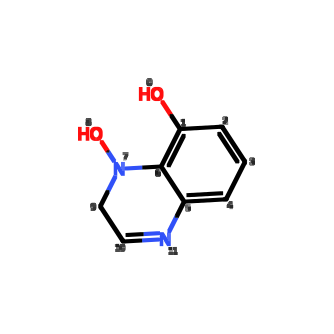 Oc1cccc2c1N(O)CC=N2